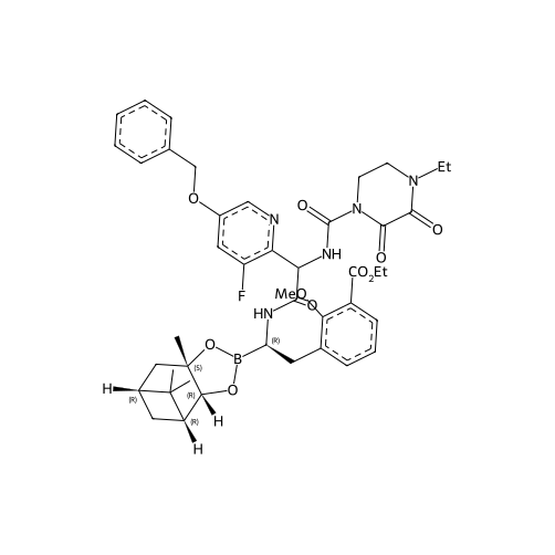 CCOC(=O)c1cccc(C[C@H](NC(=O)C(NC(=O)N2CCN(CC)C(=O)C2=O)c2ncc(OCc3ccccc3)cc2F)B2O[C@@H]3[C@@H]4C[C@H](C[C@]3(C)O2)C4(C)C)c1OC